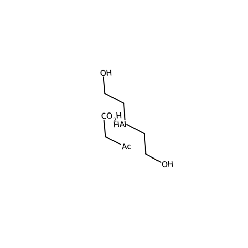 CC(=O)CC(=O)O.OC[CH2][AlH][CH2]CO